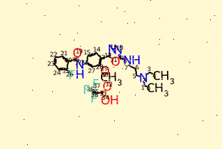 CCN(CC)CCCNc1nnc(-c2ccc(NC(=O)c3ccccc3F)cc2OC)o1.O=C(O)C(F)(F)F